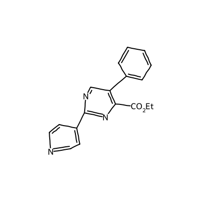 CCOC(=O)c1nc(-c2ccncc2)ncc1-c1ccccc1